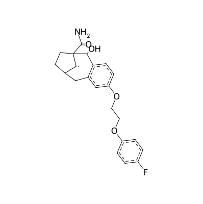 NC(=O)C12[CH]C(CC1)Cc1cc(OCCOc3ccc(F)cc3)ccc1C2O